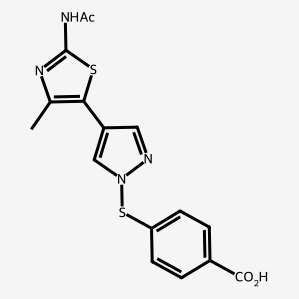 CC(=O)Nc1nc(C)c(-c2cnn(Sc3ccc(C(=O)O)cc3)c2)s1